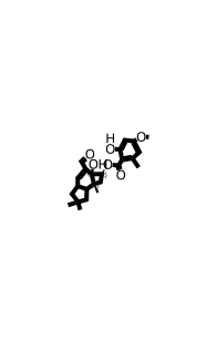 COc1cc(C)c(C(=O)O[C@@H]2C[C@]3(C)C4CC(C)(C)CC4C=C(C=O)[C@]23O)c(O)c1